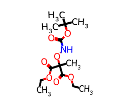 CCOC(=O)C(C)(ONC(=O)OC(C)(C)C)C(=O)OCC